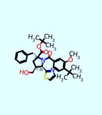 COc1cc(C(=O)N2[C@@H](c3nccs3)[C@@H](CO)C[C@@]2(Cc2ccccc2)C(=O)OC(C)(C)C)ccc1C(C)(C)C